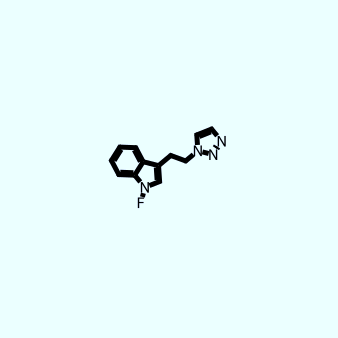 Fn1cc(CCn2ccnn2)c2ccccc21